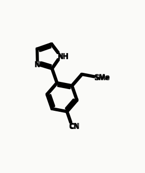 CSCc1cc(C#N)ccc1-c1ncc[nH]1